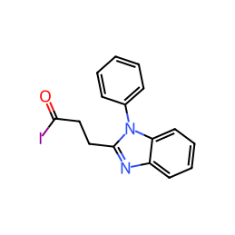 O=C(I)CCc1nc2ccccc2n1-c1ccccc1